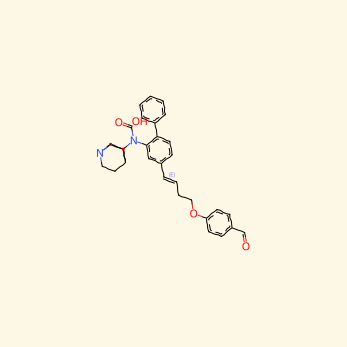 O=Cc1ccc(OCC/C=C/c2ccc(-c3ccccc3)c(N(C(=O)O)C3CN4CCC3CC4)c2)cc1